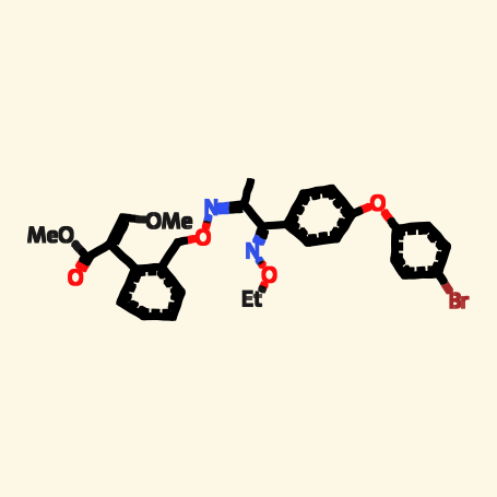 CCON=C(C(C)=NOCc1ccccc1C(=COC)C(=O)OC)c1ccc(Oc2ccc(Br)cc2)cc1